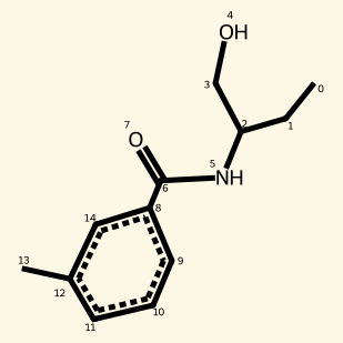 CCC(CO)NC(=O)c1cccc(C)c1